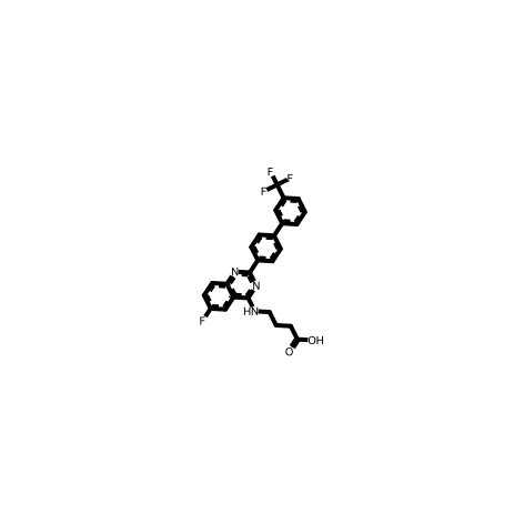 O=C(O)CCCNc1nc(-c2ccc(-c3cccc(C(F)(F)F)c3)cc2)nc2ccc(F)cc12